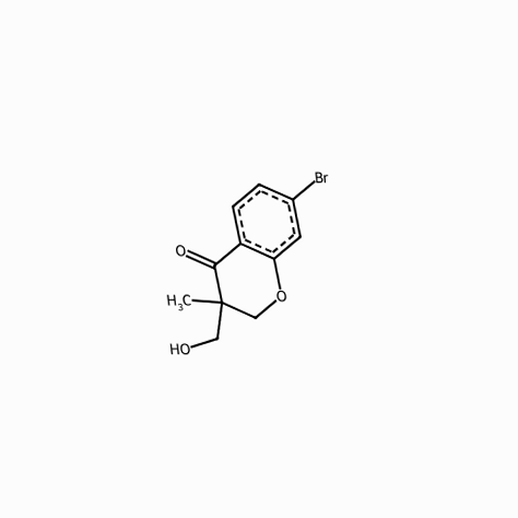 CC1(CO)COc2cc(Br)ccc2C1=O